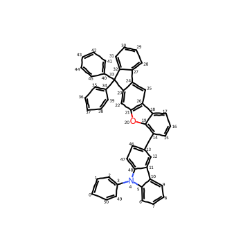 c1ccc(-n2c3ccccc3c3cc(-c4cccc5c4oc4cc6c(cc45)-c4ccccc4C6(c4ccccc4)c4ccccc4)ccc32)cc1